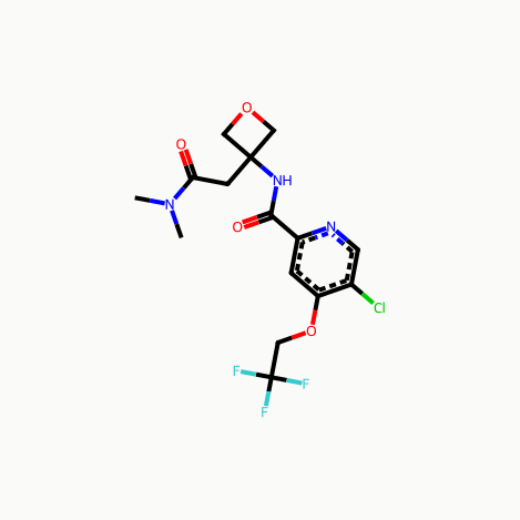 CN(C)C(=O)CC1(NC(=O)c2cc(OCC(F)(F)F)c(Cl)cn2)COC1